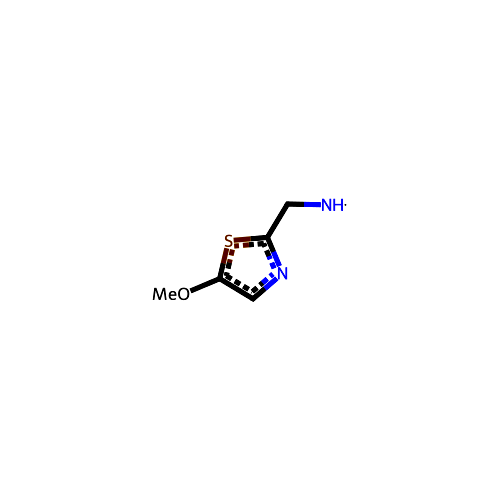 COc1cnc(C[NH])s1